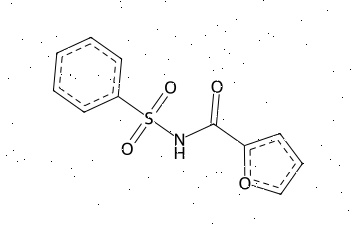 O=C(NS(=O)(=O)c1ccccc1)c1ccco1